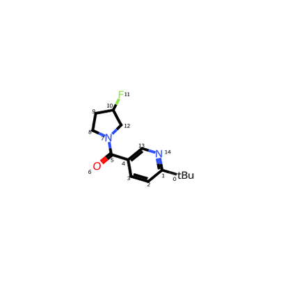 CC(C)(C)c1ccc(C(=O)N2CCC(F)C2)cn1